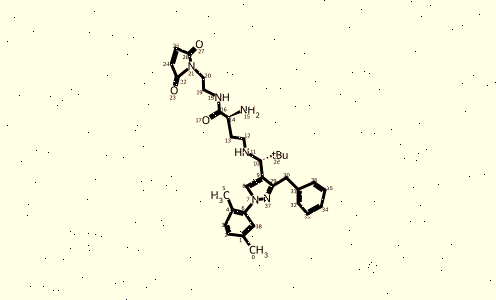 Cc1ccc(C)c(-n2cc([C@H](NCC[C@H](N)C(=O)NCCN3C(=O)C=CC3=O)C(C)(C)C)c(Cc3ccccc3)n2)c1